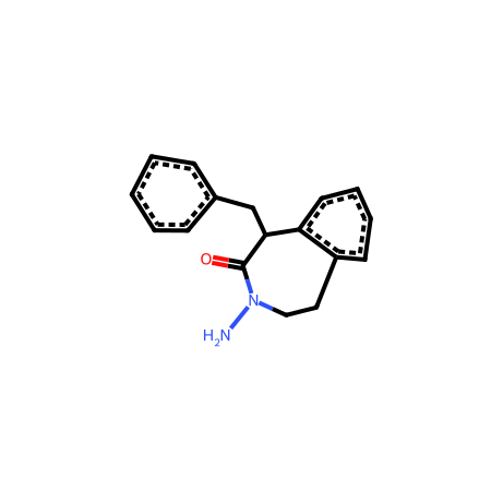 NN1CCc2ccccc2C(Cc2ccccc2)C1=O